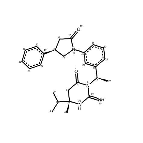 CC(C)[C@]1(C)CC(=O)N([C@H](C)c2cccc(N3C[C@@H](c4ccccc4)CC3=O)c2)C(=N)N1